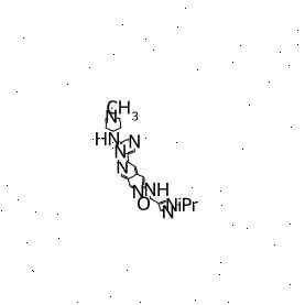 CC(C)n1cc(C(=O)Nc2cc3cc(-c4cncc(NC5CCN(C)CC5)n4)ncc3cn2)cn1